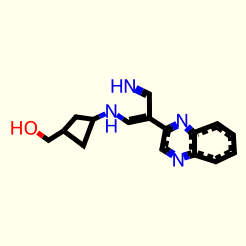 N=C/C(=C\NC1CC(CO)C1)c1cnc2ccccc2n1